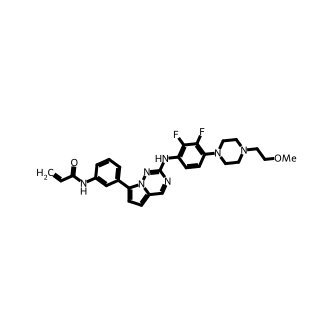 C=CC(=O)Nc1cccc(-c2ccc3cnc(Nc4ccc(N5CCN(CCOC)CC5)c(F)c4F)nn23)c1